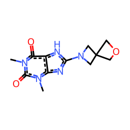 Cn1c(=O)c2[nH]c(N3CC4(COC4)C3)nc2n(C)c1=O